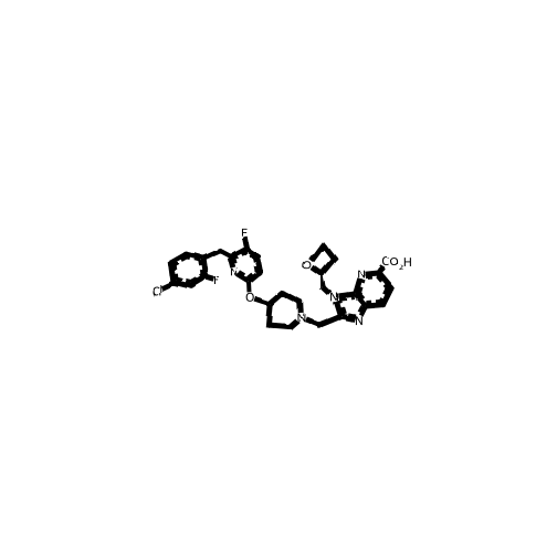 O=C(O)c1ccc2nc(CN3CCC(Oc4ccc(F)c(Cc5ccc(Cl)cc5F)n4)CC3)n(C[C@@H]3CCO3)c2n1